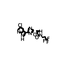 O=C(NCCC(F)(F)F)C1(Oc2cncc(-c3c[nH]c4ncc(Cl)cc34)n2)CC1